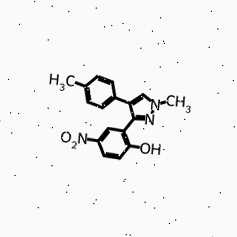 Cc1ccc(-c2cn(C)nc2-c2cc([N+](=O)[O-])ccc2O)cc1